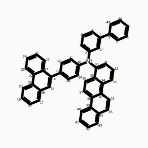 c1ccc(-c2cccc(N(c3ccc(-c4cc5ccccc5c5ccccc45)cc3)c3cccc4c3ccc3c5ccccc5ccc43)c2)cc1